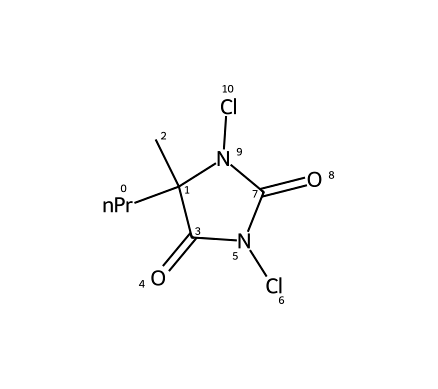 CCCC1(C)C(=O)N(Cl)C(=O)N1Cl